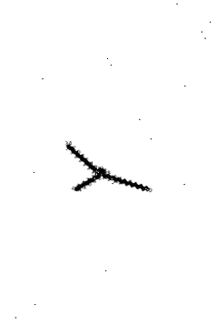 CCCCCCCCCCCCCCCCC[n+]1ccn(CCCCCCCCCCCCCC)c1CCCCCCCCCC